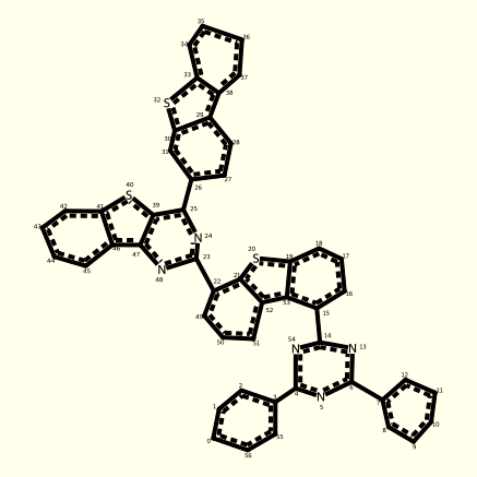 c1ccc(-c2nc(-c3ccccc3)nc(-c3cccc4sc5c(-c6nc(-c7ccc8c(c7)sc7ccccc78)c7sc8ccccc8c7n6)cccc5c34)n2)cc1